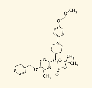 CC(C)(C)OC=O.COCOc1ccc(N2CCC(Cc3ncc(OCc4ccccc4)c(C)n3)CC2)cc1